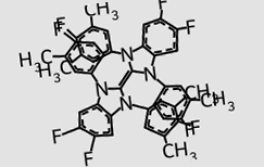 Cc1cc(N2/C(=C3/N(c4ccc(F)c(C)c4)c4cc(F)c(F)cc4N3c3cc(C)c(F)c(C)c3)N(c3cc(C)c(F)c(C)c3)c3cc(F)c(F)cc32)ccc1F